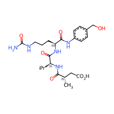 CC(C)[C@H](NC(=O)[C@@H](C)CC(=O)O)C(=O)N[C@@H](CCCNC(N)=O)C(=O)Nc1ccc(CO)cc1